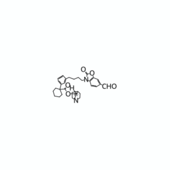 O=Cc1ccc2c(c1)oc(=O)n2CCCCc1cccc(C2(C(=O)O[C@H]3CN4CCC3CC4)CCCCC2)c1